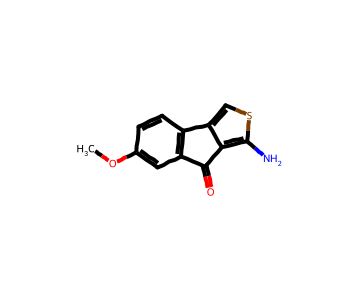 COc1ccc2c(c1)C(=O)c1c-2csc1N